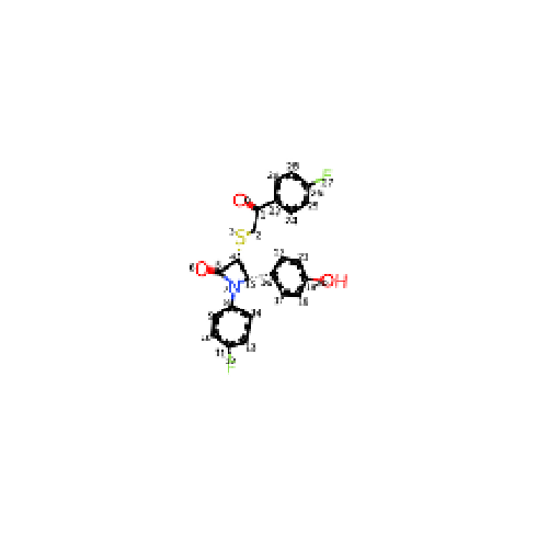 O=C(CS[C@H]1C(=O)N(c2ccc(F)cc2)[C@H]1c1ccc(O)cc1)c1ccc(F)cc1